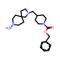 NN1CCC2(CC1)CCN(CC1CCN(C(=O)OCc3ccccc3)CC1)C2